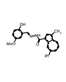 COc1ccc(O)c(/C=N/NC(=O)c2cc(C)c3cccc(C(C)C)cc2-3)c1